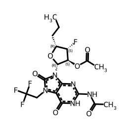 CCC[C@H]1O[C@@H](n2c(=O)n(CC(F)(F)F)c3c(=O)[nH]c(NC(C)=O)nc32)[C@H](OC(C)=O)[C@H]1F